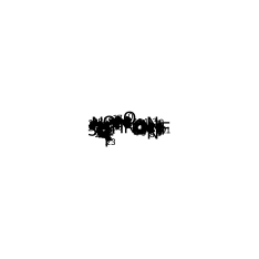 O=C(NC1CCN(c2ncc(F)cn2)CC1)N1CC(Oc2cc(F)cc3scnc23)C1